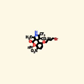 CCCOC(=O)C1=C(C)NC(C(F)(F)F)=C(C(=O)OCC)C1c1cc([N+](=O)[O-])ccc1OCCCCBr